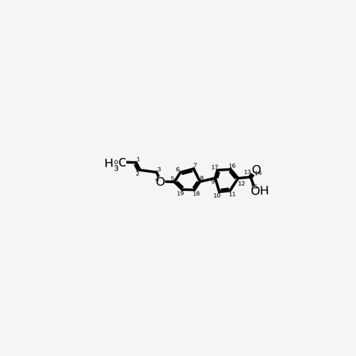 CC=CCOc1ccc(-c2ccc(C(=O)O)cc2)cc1